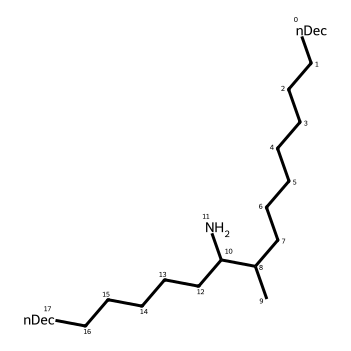 CCCCCCCCCCCCCCCCCC(C)C(N)CCCCCCCCCCCCCCC